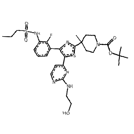 CCCS(=O)(=O)Nc1cccc(-c2nc(C3(C)CCN(C(=O)OC(C)(C)C)CC3)sc2-c2ccnc(NCCO)n2)c1F